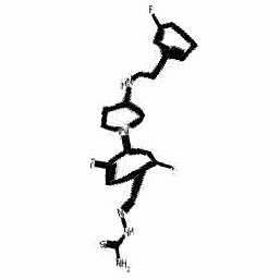 NC(=S)N/N=C/c1cc(F)c(N2CCC(NCc3cccc(F)c3)C2)cc1F